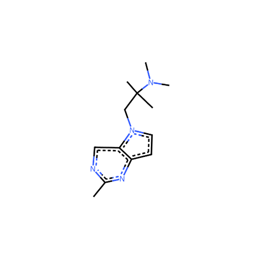 Cc1ncc2c(ccn2CC(C)(C)N(C)C)n1